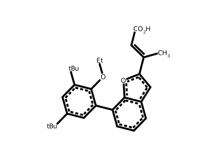 CCOc1c(-c2cccc3cc(C(C)=CC(=O)O)oc23)cc(C(C)(C)C)cc1C(C)(C)C